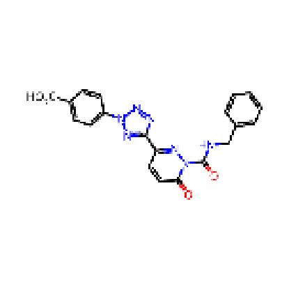 O=C(O)c1ccc(-n2nnc(-c3ccc(=O)n(C(=O)NCc4ccccc4)n3)n2)cc1